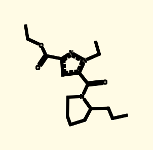 CCCC1CCCCN1C(=O)c1cc(C(=O)OCC)nn1CC